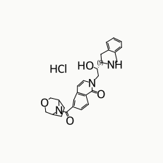 Cl.O=C(c1ccc2c(=O)n(CC(O)[C@@H]3Cc4ccccc4CN3)ccc2c1)N1C2CCC1COC2